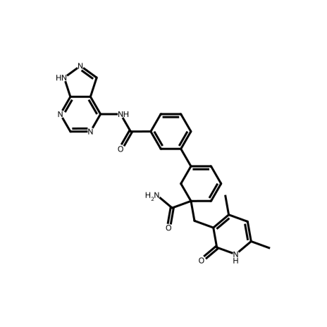 Cc1cc(C)c(CC2(C(N)=O)C=CC=C(c3cccc(C(=O)Nc4ncnc5[nH]ncc45)c3)C2)c(=O)[nH]1